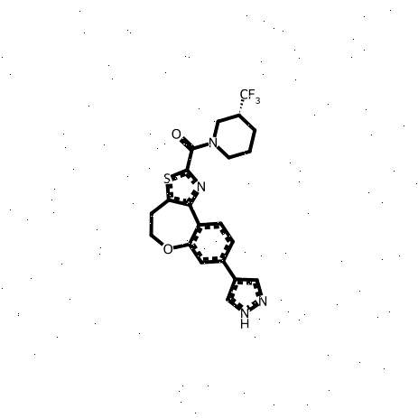 O=C(c1nc2c(s1)CCOc1cc(-c3cn[nH]c3)ccc1-2)N1CCC[C@@H](C(F)(F)F)C1